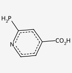 O=C(O)c1ccnc(P)c1